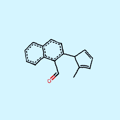 CC1=CC=CC1c1ccc2ccccc2c1C=O